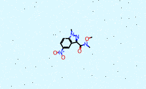 CON(C)C(=O)c1nn(C)c2ccc([N+](=O)[O-])cc12